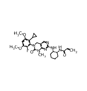 C=CC(=O)N[C@H]1CCCC[C@H]1Nc1ncc2c(n1)N(C)C(=O)N(c1c(F)c(OC)cc(OC)c1C1CC1)C2